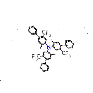 Cc1cc(-c2ccccc2)c(C(F)(F)F)cc1N(c1cc(C(F)(F)F)c(-c2ccccc2)cc1C)c1cc(C(F)(F)F)c(-c2ccccc2)cc1C